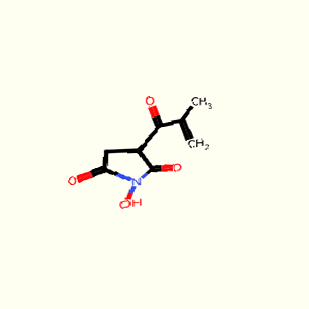 C=C(C)C(=O)C1CC(=O)N(O)C1=O